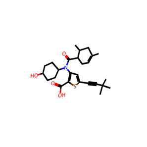 CC1=CCC(C(=O)N(c2cc(C#CC(C)(C)C)sc2C(=O)O)C2CCC(O)CC2)C(C)C1